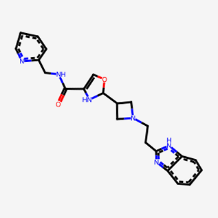 O=C(NCc1ccccn1)C1=COC(C2CN(CCc3nc4ccccc4[nH]3)C2)N1